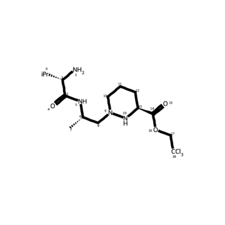 CC(C)[C@H](N)C(=O)N[C@@H](C)CN1CCC[C@@H](C(=O)OCC(Cl)(Cl)Cl)N1